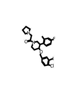 Cc1cc(F)ccc1C1CN(C(=O)CN2CCCC2)CCC1OCc1ccc(Cl)c(I)c1